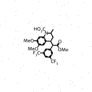 COC(=O)C(c1cc(C(F)(F)F)cc(C(F)(F)F)c1)C1CC(C)N(C(=O)O)c2cc(OC)c(OC)cc21